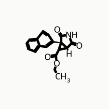 CCOC(=O)C1[C@H]2C(=O)NC(=O)[C@@]12c1ccc2ccccc2c1